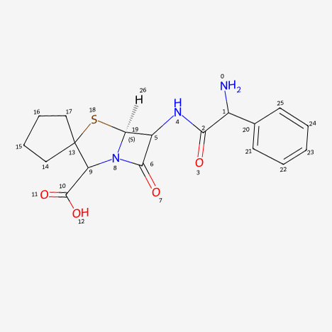 NC(C(=O)NC1C(=O)N2C(C(=O)O)C3(CCCC3)S[C@@H]12)c1ccccc1